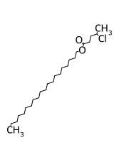 CCCCCCCCCCCCCCCCCCCCOC(=O)CCC(C)Cl